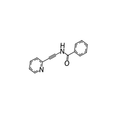 O=C(NC#Cc1ccccn1)c1ccccc1